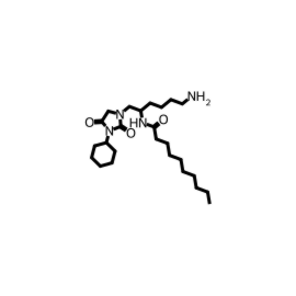 CCCCCCCCCC(=O)NC(CCCCN)CN1CC(=O)N(C2CCCCC2)C1=O